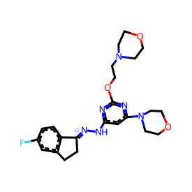 Fc1ccc2c(c1)CC/C2=N\Nc1cc(N2CCOCC2)nc(OCCN2CCOCC2)n1